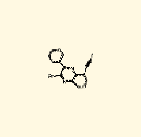 CC#Cc1cccc2nc(C(C)C)c(-c3ccccc3)nc12